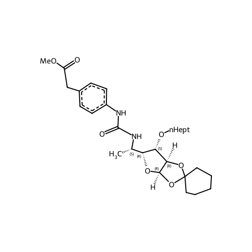 CCCCCCCO[C@@H]1[C@H]2OC3(CCCCC3)O[C@H]2O[C@@H]1[C@H](C)NC(=O)Nc1ccc(CC(=O)OC)cc1